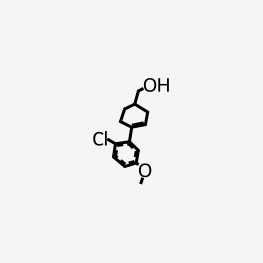 COc1ccc(Cl)c(C2=CCC(CO)CC2)c1